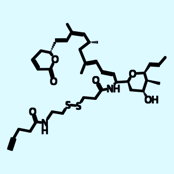 C#CCCC(=O)NCCSSCCC(=O)N[C@H](/C=C/C=C(\C)C[C@@H](C)/C=C(C)\C=C\[C@H]1CC=CC(=O)O1)[C@@H]1C[C@@H](O)[C@H](C)[C@H](/C=C/C)O1